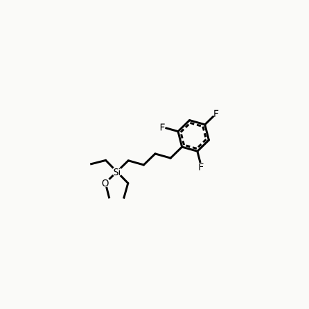 CC[Si](CC)(CCCCc1c(F)cc(F)cc1F)OC